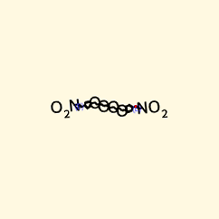 O=[N+]([O-])/C=C/c1ccc(OCCOCCOCCOc2ccc(/C=C/[N+](=O)[O-])cc2)cc1